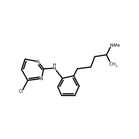 CNC(C)CCCc1ccccc1Nc1nccc(Cl)n1